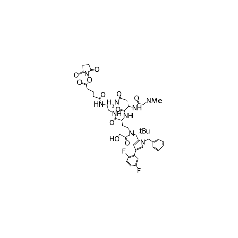 CNCC(=O)N[C@@H](CC(N)=O)C(=O)N[C@@H](CCN(C(=O)CO)[C@@H](c1cc(-c2cc(F)ccc2F)cn1Cc1ccccc1)C(C)(C)C)C(=O)NCCNC(=O)CCCC(=O)ON1C(=O)CCC1=O